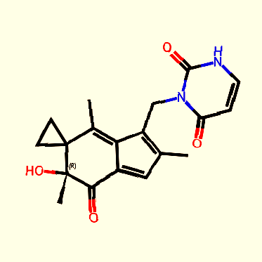 CC1=C(Cn2c(=O)cc[nH]c2=O)C2=C(C)C3(CC3)[C@@](C)(O)C(=O)C2=C1